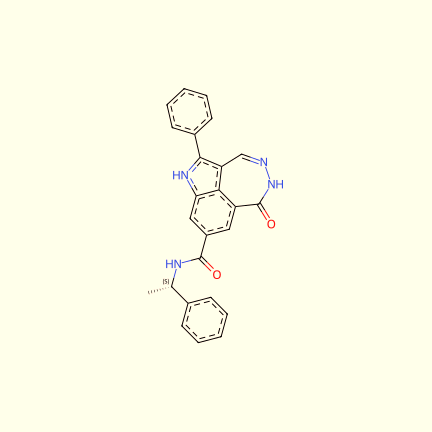 C[C@H](NC(=O)c1cc2c3c(c(-c4ccccc4)[nH]c3c1)C=NNC2=O)c1ccccc1